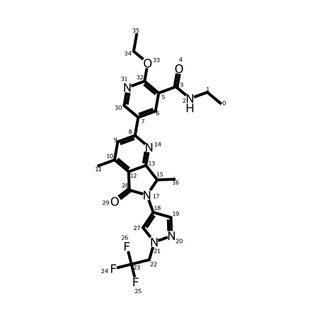 CCNC(=O)c1cc(-c2cc(C)c3c(n2)C(C)N(c2cnn(CC(F)(F)F)c2)C3=O)cnc1OCC